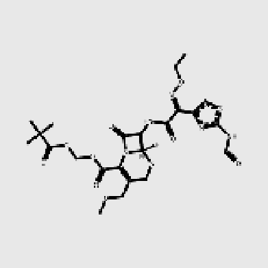 CCON=C(C(=O)NC1C(=O)N2C(C(=O)OCOC(=O)C(C)(C)C)=C(COC)CS[C@@H]12)c1csc(NC=O)n1